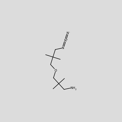 CC(C)(CN)COCC(C)(C)CN=[N+]=[N-]